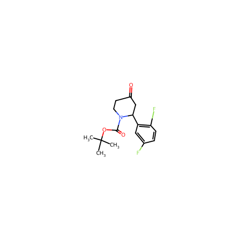 CC(C)(C)OC(=O)N1CCC(=O)CC1c1cc(F)ccc1F